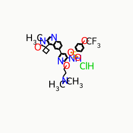 CN(C)CCCOc1ncc(-c2ccc3ncc4c(c3c2)C2(CCC2)C(=O)N4C)cc1NS(=O)(=O)c1ccc(OC(F)(F)F)cc1.Cl